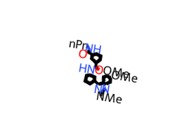 CCCNC(=O)c1cccc(C(=O)Nc2cccc(-c3nc(NC)nc4cc(OC)c(OC)cc34)c2)c1